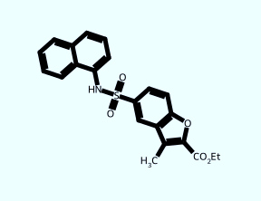 CCOC(=O)c1oc2ccc(S(=O)(=O)Nc3cccc4ccccc34)cc2c1C